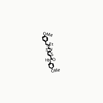 CCN(Cc1ccc(OC)cc1)c1nc2sc(C(=O)NC3=CCC(OC)C=C3)cc2s1